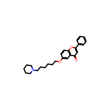 O=c1cc(-c2ccccc2)oc2ccc(OCCCCCCN3CCCCC3)cc12